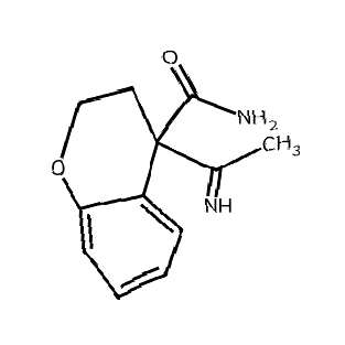 CC(=N)C1(C(N)=O)CCOc2ccccc21